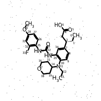 CC[C@@H](CC(=O)O)c1ccc(N(CC)C2CCOCC2)c(NC(=O)Nc2ccc(OC)cc2F)c1